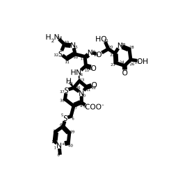 C[n+]1ccc(SCC2=C(C(=O)[O-])N3C(=O)[C@@H](NC(=O)/C(=N\OC(O)C4=CC(=O)C(O)C=N4)c4csc(N)n4)[C@H]3SC2)cc1